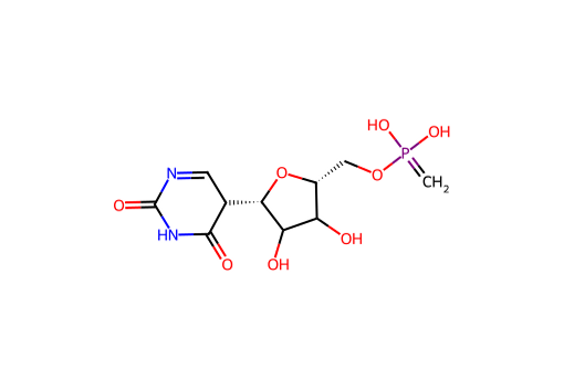 C=P(O)(O)OC[C@H]1O[C@@H](C2C=NC(=O)NC2=O)C(O)C1O